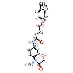 CCCN1C(=O)COc2cc(NC(=O)CCCOc3ccc(C)cc3)ccc21